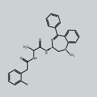 CC(NC(=O)Cc1ccccc1F)C(=O)N[C@@H]1CN(C)c2ccccc2C(c2ccccc2)=N1